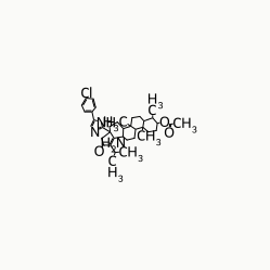 CC(=O)OC1CCC2(C)C(CCC3(C)C4CCC5(c6ncc(-c7ccc(Cl)cc7)[nH]6)CC(=O)C(C(C)C)=C5C4(N)CCC23)C1C